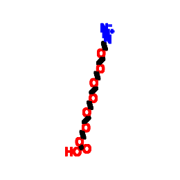 [N-]=[N+]=NCCOCCOCCOCCOCCOCCOCCOC(=O)O